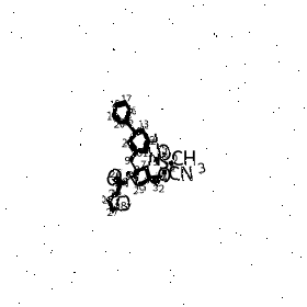 C[C@@H](C#N)S(=O)(=O)N[C@@H]1[C@H](Cc2cccc(-c3ccccc3)c2)N(C(=O)C2CCO2)CC12CC2